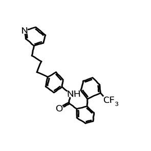 O=C(Nc1ccc(CCCc2cccnc2)cc1)c1ccccc1-c1ccccc1C(F)(F)F